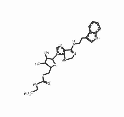 O=C(O)CNC(=O)OCC1OC(n2cnc3c2NCN=C3NCCc2c[nH]c3ccccc23)C(O)C1O